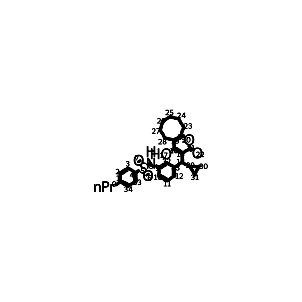 CCCc1ccc(S(=O)(=O)Nc2cccc(C(c3c(O)c4c(oc3=O)CCCCCC4)C3CC3)c2)cc1